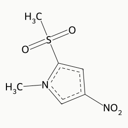 Cn1cc([N+](=O)[O-])cc1S(C)(=O)=O